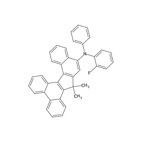 CC1(C)c2cc(N(c3ccccc3)c3ccccc3F)c3ccccc3c2-c2c1c1ccccc1c1ccccc21